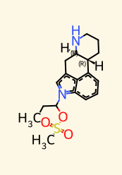 CCC(OS(C)(=O)=O)n1cc2c3c(cccc31)[C@H]1CCCN[C@@H]1C2